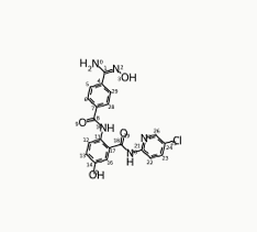 N/C(=N/O)c1ccc(C(=O)Nc2ccc(O)cc2C(=O)Nc2ccc(Cl)cn2)cc1